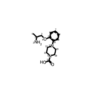 CC(N)COc1ccccc1N1CCN(C(=O)O)CC1